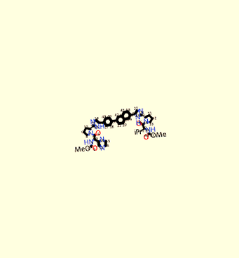 COC(=O)NC(C(=O)N1CCC[C@H]1c1ncc(-c2ccc(-c3ccc4cc(-c5cnc([C@@H]6CCCN6C(=O)[C@@H](NC(=O)OC)C(C)C)[nH]5)ccc4c3)cc2)[nH]1)c1cnccn1